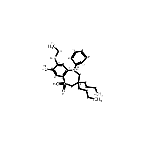 CCCCC1(CCCC)CN(c2ccccc2)c2cc(SCC)c(O)cc2S(=O)(=O)C1